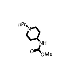 CCCN1CCC(NC(=O)OC)CC1